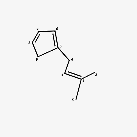 CC(C)=CCC1=CC=CC1